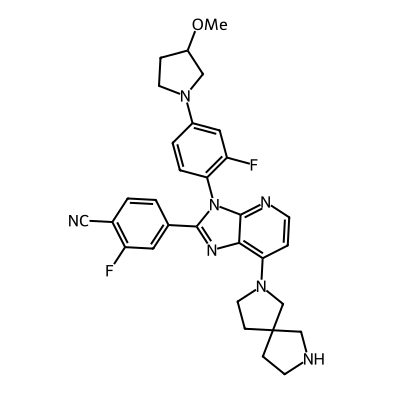 COC1CCN(c2ccc(-n3c(-c4ccc(C#N)c(F)c4)nc4c(N5CCC6(CCNC6)C5)ccnc43)c(F)c2)C1